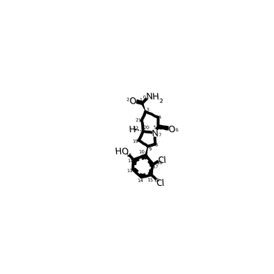 NC(=O)[C@H]1CC(=O)N2C[C@@H](c3c(O)ccc(Cl)c3Cl)C[C@H]2C1